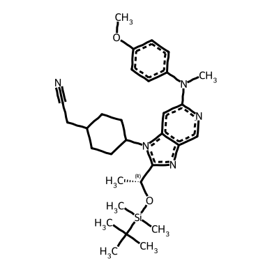 COc1ccc(N(C)c2cc3c(cn2)nc([C@@H](C)O[Si](C)(C)C(C)(C)C)n3C2CCC(CC#N)CC2)cc1